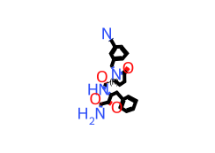 N#Cc1cccc(CN2C(=O)CC[C@@H]2C(=O)NC(Cc2ccccc2)C(=O)C(N)=O)c1